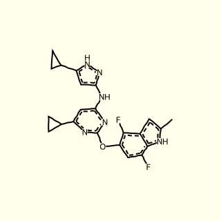 Cc1cc2c(F)c(Oc3nc(Nc4cc(C5CC5)[nH]n4)cc(C4CC4)n3)cc(F)c2[nH]1